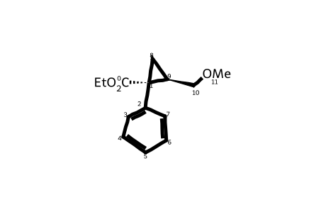 CCOC(=O)[C@]1(c2ccccc2)C[C@H]1COC